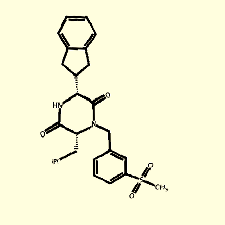 CC(C)C[C@@H]1C(=O)N[C@H](C2Cc3ccccc3C2)C(=O)N1Cc1cccc(S(C)(=O)=O)c1